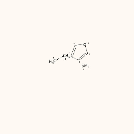 CC.N.c1ccoc1